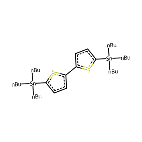 CCC[CH2][Sn]([CH2]CCC)([CH2]CCC)[c]1ccc(-c2cc[c]([Sn]([CH2]CCC)([CH2]CCC)[CH2]CCC)s2)s1